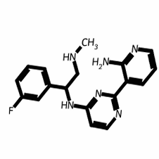 CNCC(Nc1ccnc(-c2cccnc2N)n1)c1cccc(F)c1